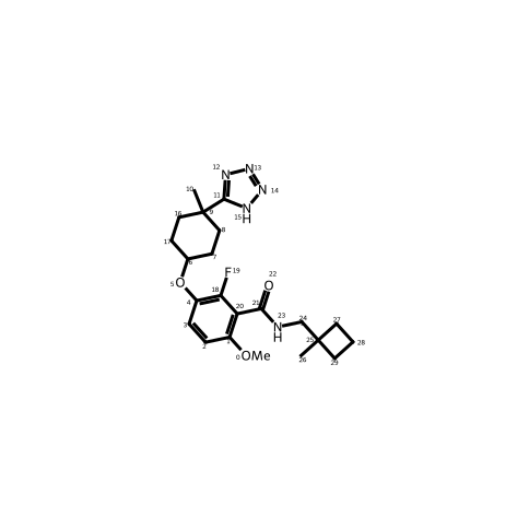 COc1ccc(OC2CCC(C)(c3nnn[nH]3)CC2)c(F)c1C(=O)N[CH]C1(C)CCC1